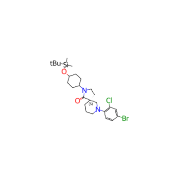 CC(C)(C)[Si](C)(C)OC1CCC(N2CC[C@]3(CCCN(c4ccc(Br)cc4Cl)C3)C2=O)CC1